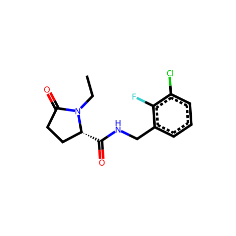 CCN1C(=O)CC[C@H]1C(=O)NCc1cccc(Cl)c1F